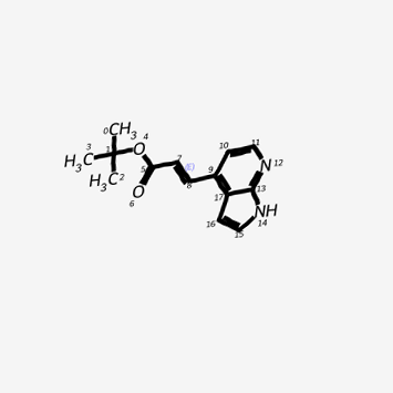 CC(C)(C)OC(=O)/C=C/c1ccnc2[nH]ccc12